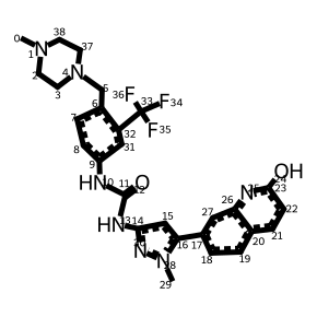 CN1CCN(Cc2ccc(NC(=O)Nc3cc(-c4ccc5ccc(O)nc5c4)n(C)n3)cc2C(F)(F)F)CC1